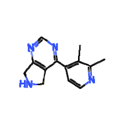 Cc1nccc(-c2ncnc3c2CNC3)c1C